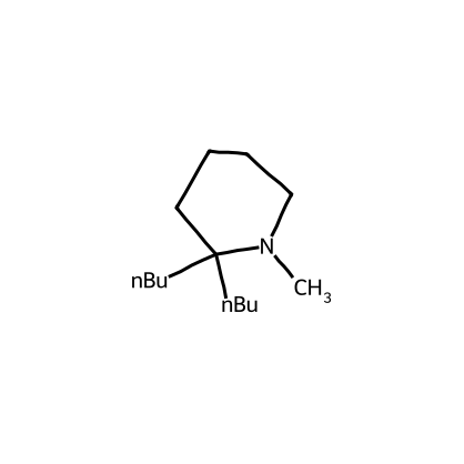 CCCCC1(CCCC)CCCCN1C